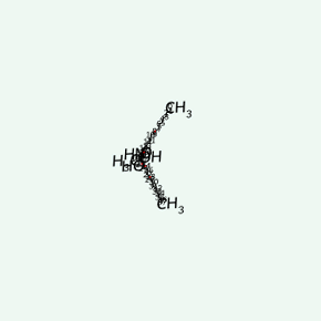 CCCCCCCCCCCCCCCC(=O)N[C@@H](C)[C@H](O)[C@H](O)CCCCCCCCCCCCCC